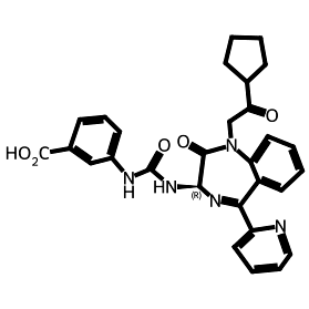 O=C(Nc1cccc(C(=O)O)c1)N[C@@H]1N=C(c2ccccn2)c2ccccc2N(CC(=O)C2CCCC2)C1=O